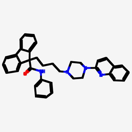 O=C(Nc1ccccc1)C1(CCCCN2CCN(c3ccc4ccccc4n3)CC2)c2ccccc2-c2ccccc21